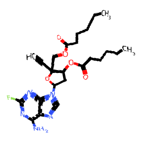 C#CC1(COC(=O)CCCCC)OC(n2cnc3c(N)nc(F)nc32)CC1OC(=O)CCCCC